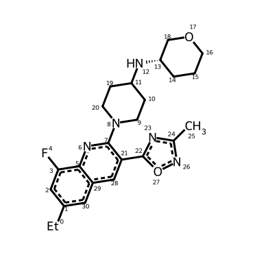 CCc1cc(F)c2nc(N3CCC(N[C@H]4CCCOC4)CC3)c(-c3nc(C)no3)cc2c1